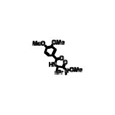 CCCC(NC(=O)c1ccc(OC)c(OC)c1)C(=O)N(C)OC